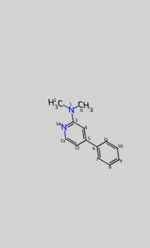 CN(C)c1cc(-c2ccccc2)ccn1